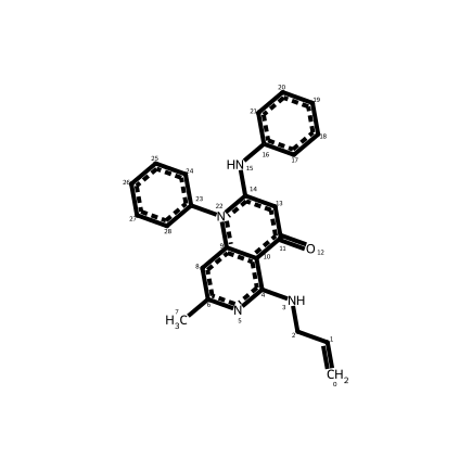 C=CCNc1nc(C)cc2c1c(=O)cc(Nc1ccccc1)n2-c1ccccc1